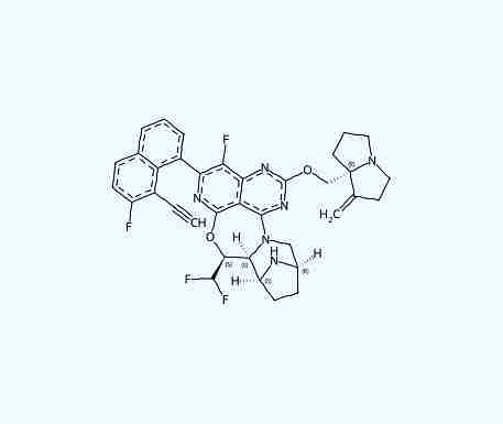 C#Cc1c(F)ccc2cccc(-c3nc4c5c(nc(OC[C@]67CCCN6CCC7=C)nc5c3F)N3C[C@H]5CC[C@H](N5)[C@H]3[C@@H](C(F)F)O4)c12